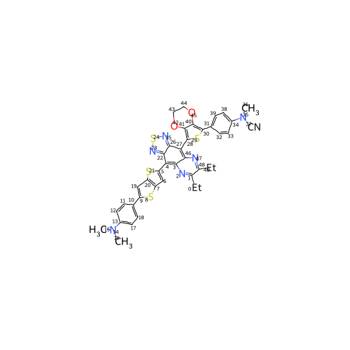 CCc1nc2c(-c3cc4sc(-c5ccc(N(C)C)cc5)cc4s3)c3nsnc3c(-c3sc(-c4ccc(N(C)C#N)cc4)c4c3OCCO4)c2nc1CC